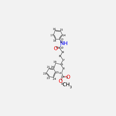 COC(=O)CCC(CCCC(=O)Nc1ccccc1)Cc1ccccc1